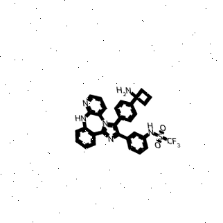 NC1(c2ccc(-c3c(-c4cccc(NS(=O)(=O)C(F)(F)F)c4)nc4n3-c3cccnc3Nc3ccccc3-4)cc2)CCC1